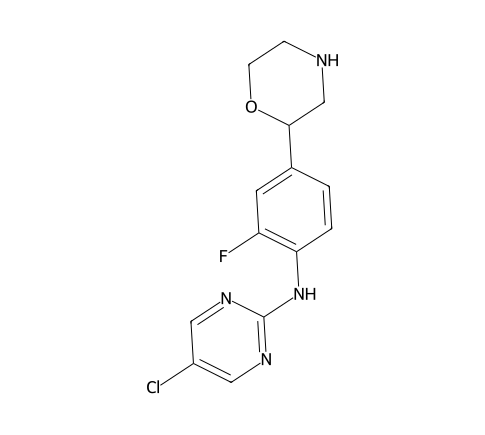 Fc1cc(C2CNCCO2)ccc1Nc1ncc(Cl)cn1